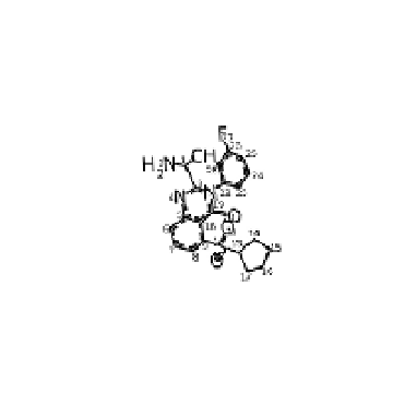 C[C@H](N)c1nc2cccc(S(=O)(=O)C3CCCC3)c2c(=O)n1-c1cccc(F)c1